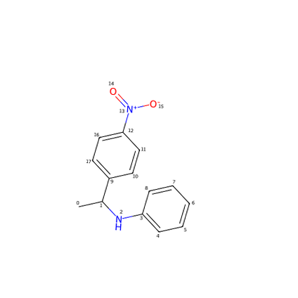 CC(Nc1ccccc1)c1ccc([N+](=O)[O-])cc1